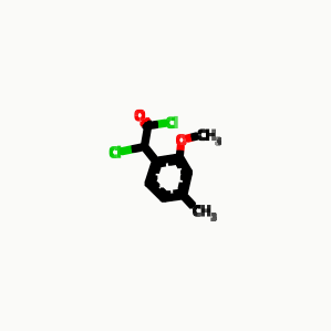 COc1cc(C)ccc1C(Cl)C(=O)Cl